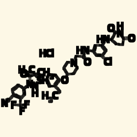 CCc1cc([SH]2NN(c3ccc(C#N)c(C(F)(F)F)c3)C(=O)C2(C)C)ccc1OC1CCN(CC(=O)Nc2cc(Cl)cc(NC3CCC(=O)NC3=O)c2)CC1.Cl